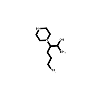 NCCCC(C(N)O)N1CCNCC1